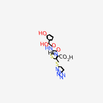 O=C(O)C1=C(CSc2ccc3nnnn3n2)CS[C@H]2C(NC(=O)C(O)c3cccc(O)c3)C(=O)N12